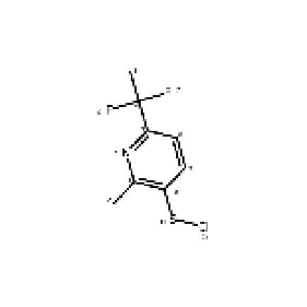 Cc1nc(C(C)(F)F)ccc1SCl